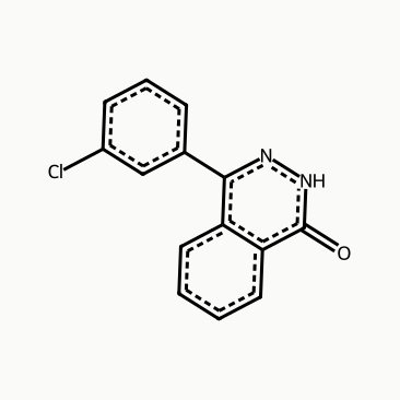 O=c1[nH]nc(-c2cccc(Cl)c2)c2ccccc12